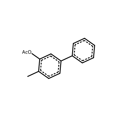 CC(=O)Oc1cc(-c2ccccc2)ccc1C